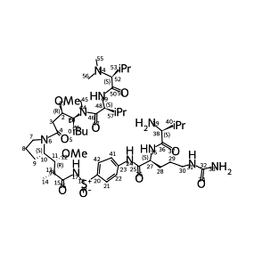 CC[C@H](C)[C@@H]([C@@H](CC(=O)N1CCC[C@H]1[C@H](OC)[C@@H](C)C(=O)N[S+]([O-])c1ccc(NC(=O)[C@H](CCCNC(N)=O)NC(=O)[C@@H](N)C(C)C)cc1)OC)N(C)C(=O)[C@@H](NC(=O)[C@H](C(C)C)N(C)C)C(C)C